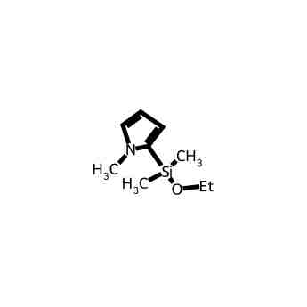 CCO[Si](C)(C)c1cccn1C